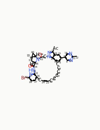 CC(=O)c1nn2c3c(cc(-c4cnc(C)nc4)cc13)CCCCCCC=CCc1ccc(Br)nc1NC(=O)[C@@H]1C[C@@]3(C)C[C@H]3N1C(=O)C2